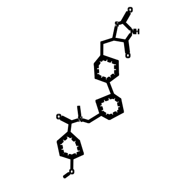 COc1ccc(C(=O)N(C)Cc2cccc(-c3ccc(CC4SC(=O)NC4=O)cc3)c2)cc1